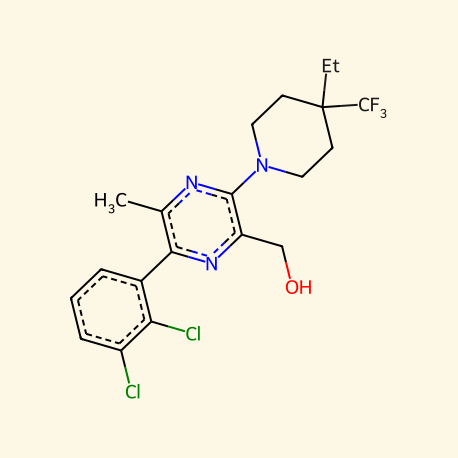 CCC1(C(F)(F)F)CCN(c2nc(C)c(-c3cccc(Cl)c3Cl)nc2CO)CC1